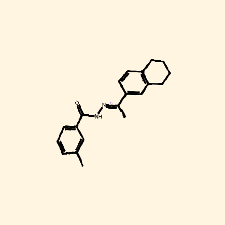 C/C(=N\NC(=O)c1cccc(C)c1)c1ccc2c(c1)CCCC2